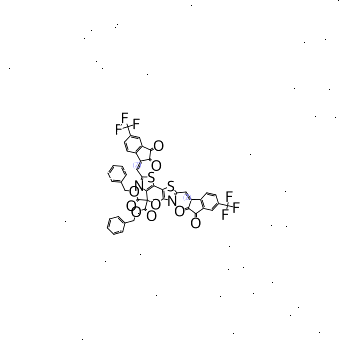 O=C1C(=O)c2cc(C(F)(F)F)ccc2/C1=C/c1nc2c(s1)-c1sc(/C=C3\C(=O)C(=O)c4cc(C(F)(F)F)ccc43)nc1C(C(=O)OCc1ccccc1)(C(=O)OCc1ccccc1)O2